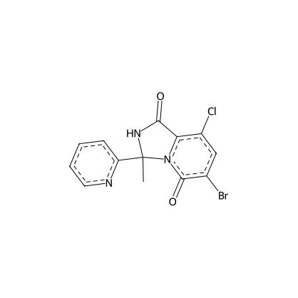 CC1(c2ccccn2)NC(=O)c2c(Cl)cc(Br)c(=O)n21